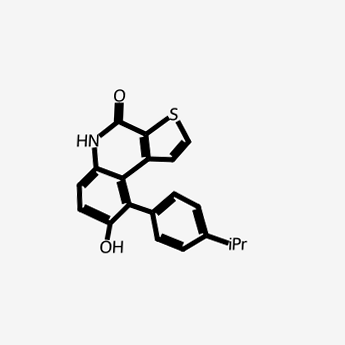 CC(C)c1ccc(-c2c(O)ccc3[nH]c(=O)c4sccc4c23)cc1